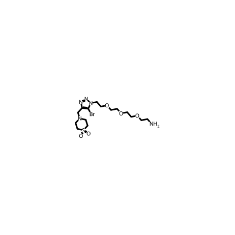 NCCOCCOCCOCCn1nnc(CN2CCS(=O)(=O)CC2)c1Br